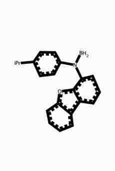 BN(c1ccc(C(C)C)cc1)c1cccc2c1oc1ccccc12